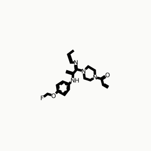 C=CC(=O)N1CCN(/C(=N/C=C\C)C(=C)Nc2ccc(OCF)cc2)CC1